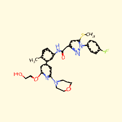 CSc1cc(C(=O)Nc2ccc(C)c(-c3cc(OCCO)nc(N4CCOCC4)c3)c2)nn1-c1ccc(F)cc1